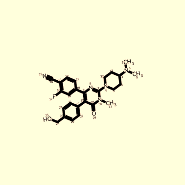 CN(C)C1CCN(c2nc(-c3ccc(C#N)c(F)c3)c(-c3ccc(CO)cc3)c(=O)n2C)CC1